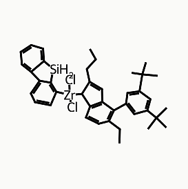 CCCC1=Cc2c(ccc(CC)c2-c2cc(C(C)(C)C)cc(C(C)(C)C)c2)[CH]1[Zr]([Cl])([Cl])[c]1cccc2c1[SiH2]c1ccccc1-2